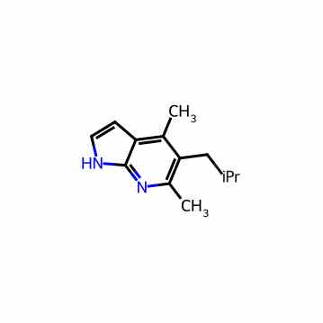 Cc1nc2[nH]ccc2c(C)c1CC(C)C